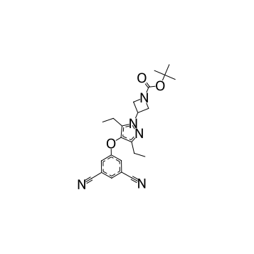 CCc1nn(C2CN(C(=O)OC(C)(C)C)C2)c(CC)c1Oc1cc(C#N)cc(C#N)c1